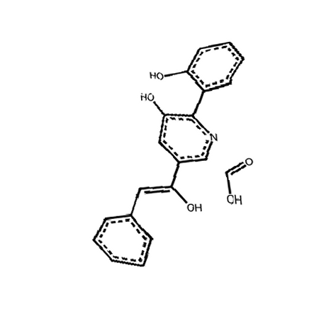 O=CO.OC(=Cc1ccccc1)c1cnc(-c2ccccc2O)c(O)c1